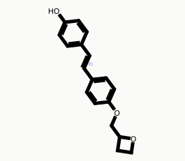 Oc1ccc(/C=C/c2ccc(OCC3CCO3)cc2)cc1